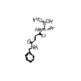 CC(C)C[C@H](NC(=O)/C=C/C(=O)NCc1ccccc1)B(O)O